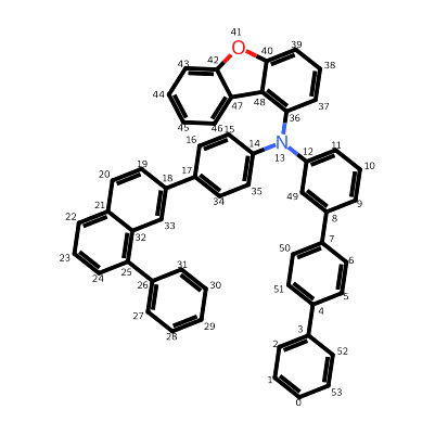 c1ccc(-c2ccc(-c3cccc(N(c4ccc(-c5ccc6cccc(-c7ccccc7)c6c5)cc4)c4cccc5oc6ccccc6c45)c3)cc2)cc1